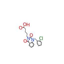 O=C(O)CCCCn1c(=O)c2ccccc2n(Cc2ccccc2Cl)c1=O